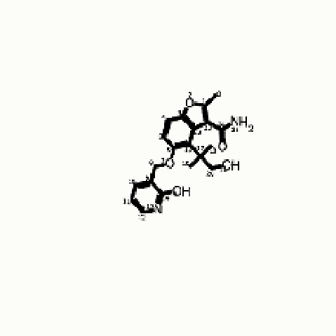 Cc1oc2ccc(OCc3cccnc3O)c(C(C)(C)CO)c2c1C(N)=O